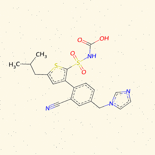 CC(C)Cc1cc(-c2ccc(Cn3ccnc3)cc2C#N)c(S(=O)(=O)NC(=O)O)s1